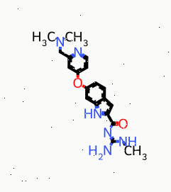 CNC(N)=NC(=O)c1cc2ccc(Oc3ccnc(CN(C)C)c3)cc2[nH]1